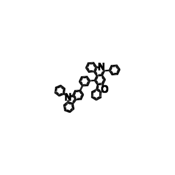 c1ccc(-c2nc3ccccc3c3c(-c4cccc(-c5ccc6c7ccccc7n(-c7ccccc7)c6c5)c4)c4c(cc23)oc2ccccc24)cc1